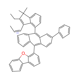 C/C=C\C1=C(CC)C(C)(C)c2cccc(-c3c4ccccc4c(-c4cccc5c4oc4ccccc45)c4ccc(-c5ccccc5)cc34)c21